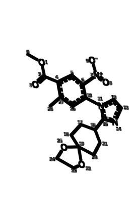 COC(=O)c1cc([N+](=O)[O-])c(-n2ccnc2C2CCC3(CC2)OCCO3)cc1C